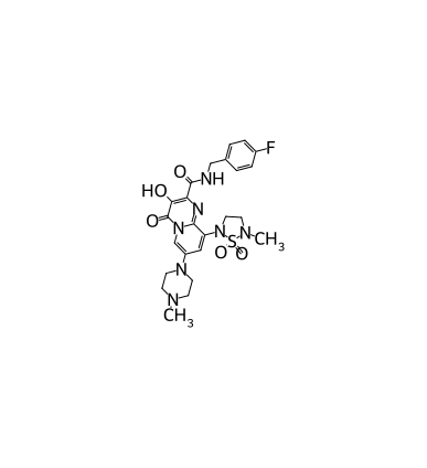 CN1CCN(c2cc(N3CCN(C)S3(=O)=O)c3nc(C(=O)NCc4ccc(F)cc4)c(O)c(=O)n3c2)CC1